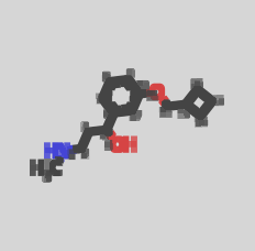 CNCCC(O)c1cccc(OCC2CCC2)c1